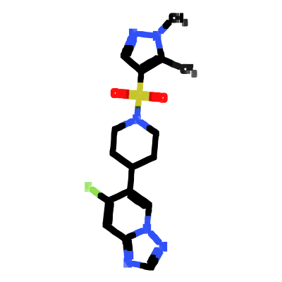 Cn1ncc(S(=O)(=O)N2CCC(c3cn4ncnc4cc3F)CC2)c1C(F)(F)F